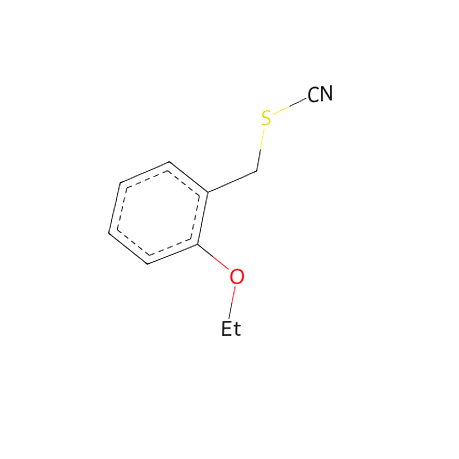 CCOc1ccccc1CSC#N